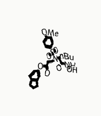 CCCCC(C(=O)NO)N(CCC(=O)Oc1ccc2c(c1)CCC2)S(=O)(=O)c1ccc(OC)cc1